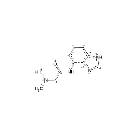 CN(C)CC(=O)Nc1cccc2[nH]cnc12